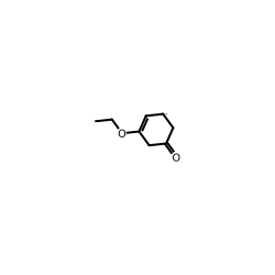 CCOC1=C[CH]CC(=O)C1